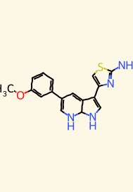 COc1cccc(C2=CNC3NC=C(c4csc(N)n4)C3=C2)c1